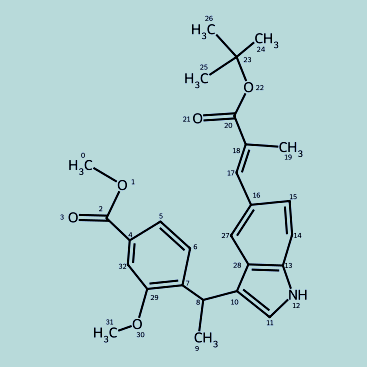 COC(=O)c1ccc(C(C)c2c[nH]c3ccc(/C=C(\C)C(=O)OC(C)(C)C)cc23)c(OC)c1